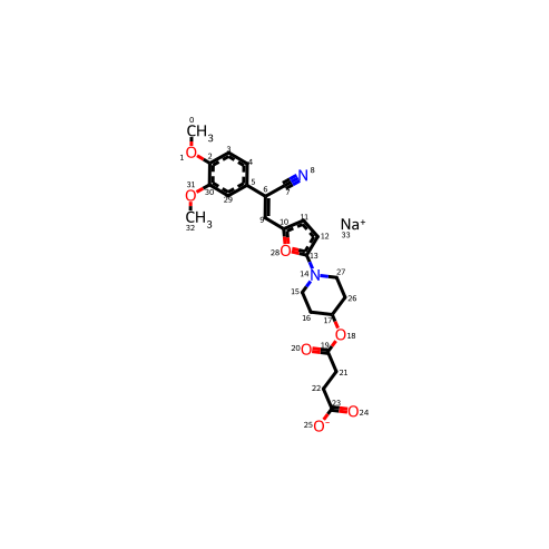 COc1ccc(C(C#N)=Cc2ccc(N3CCC(OC(=O)CCC(=O)[O-])CC3)o2)cc1OC.[Na+]